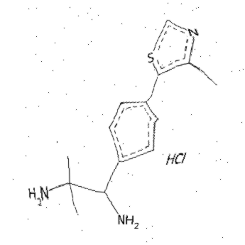 Cc1ncsc1-c1ccc(C(N)C(C)(C)N)cc1.Cl